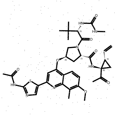 C=C[C@@H]1C[C@]1(NC(=O)[C@@H]1C[C@@H](Oc2cc(-c3cnc(NC(C)=O)s3)nc3c(C)c(OC)ccc23)CN1C(=O)[C@@H](NC(=O)NC)C(C)(C)C)C(C)=O